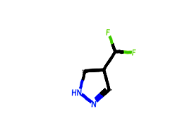 FC(F)C1[C]NN=[C]1